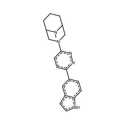 CN1C2CCCC1CN(c1ccc(-c3ccc4[nH]ccc4c3)nn1)C2